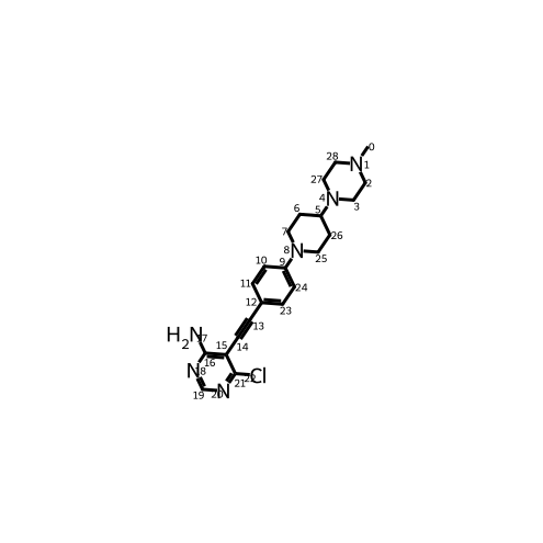 CN1CCN(C2CCN(c3ccc(C#Cc4c(N)ncnc4Cl)cc3)CC2)CC1